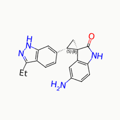 CCc1n[nH]c2cc([C@@H]3C[C@@]34C(=O)Nc3ccc(N)cc34)ccc12